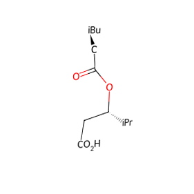 CC[C@H](C)CC(=O)O[C@@H](CC(=O)O)C(C)C